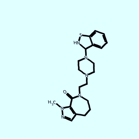 Cn1ncc2c1C(=O)N(CCN1CCN(C3NSc4ccccc43)CC1)CCC2